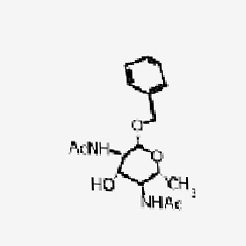 CC(=O)N[C@H]1[C@H](OCc2ccccc2)O[C@H](C)[C@@H](NC(C)=O)[C@@H]1O